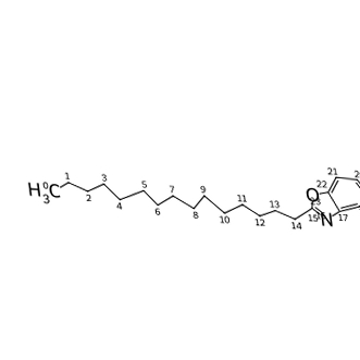 CCCCCCCCCCCCCCCc1nc2ccccc2o1